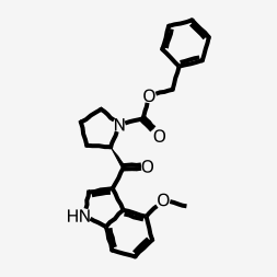 COc1cccc2[nH]cc(C(=O)[C@H]3CCCN3C(=O)OCc3ccccc3)c12